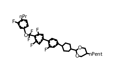 CCCCCC1COC(C2CCC(c3ccc(-c4cc(F)c(C(F)(F)Oc5ccc(CCC)c(F)c5)c(F)c4)c(F)c3)CC2)OC1